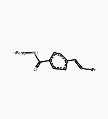 CCCCCNC(=O)c1ccc(/C=C/C(C)C)cc1